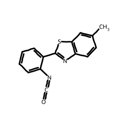 Cc1ccc2nc(-c3ccccc3N=C=O)sc2c1